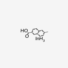 Cc1ccc2cc(C(=O)O)ccc2c1.[InH3]